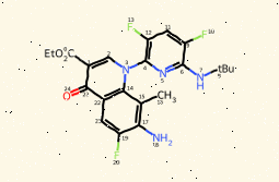 CCOC(=O)c1cn(-c2nc(NC(C)(C)C)c(F)cc2F)c2c(C)c(N)c(F)cc2c1=O